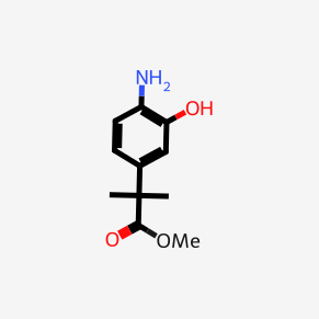 COC(=O)C(C)(C)c1ccc(N)c(O)c1